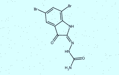 NC(=O)NN=C1Nc2c(Br)cc(Br)cc2C1=O